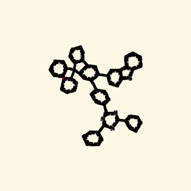 c1ccc(-c2nc(-c3ccccc3)nc(-c3ccc(-c4cc5c(cc4-c4ccc6sc7ccccc7c6c4)-c4ccccc4C5(c4ccccc4)c4ccccc4)cc3)n2)cc1